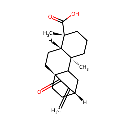 C=C1C(=O)[C@]23CC[C@H]1CC2[C@]1(C)CCC[C@@](C)(C(=O)O)[C@H]1CC3